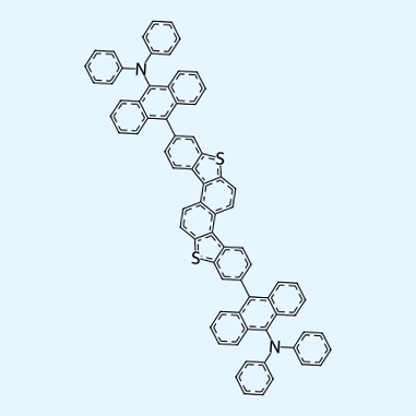 c1ccc(N(c2ccccc2)c2c3ccccc3c(-c3ccc4c(c3)sc3ccc5c(ccc6sc7cc(-c8c9ccccc9c(N(c9ccccc9)c9ccccc9)c9ccccc89)ccc7c65)c34)c3ccccc23)cc1